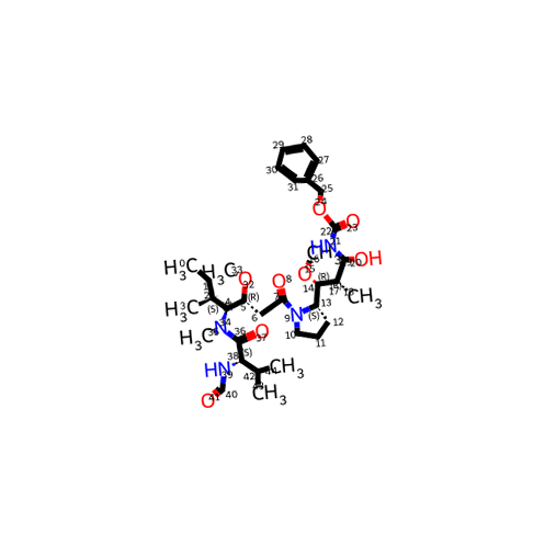 CC[C@H](C)[C@@H]([C@@H](CC(=O)N1CCC[C@H]1[C@H](OC)[C@@H](C)C(O)NC(=O)OCc1ccccc1)OC)N(C)C(=O)[C@@H](NC=O)C(C)C